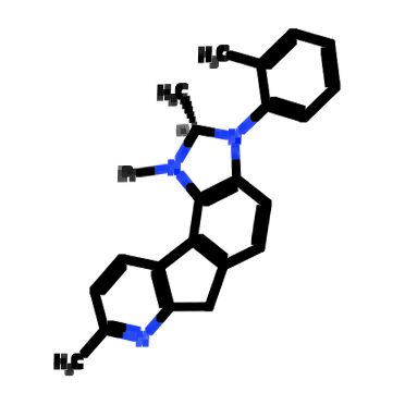 Cc1ccc2c(n1)Cc1ccc3c(c1-2)N(C(C)C)[C@H](C)N3c1ccccc1C